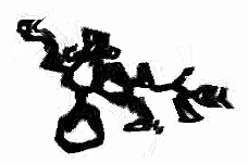 CCCCC1CN(c2ccccc2)c2cc(SC)c(O/C=C(\F)C(=O)O)cc2S(=O)(=O)C1(C)C